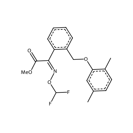 COC(=O)C(=NOC(F)F)c1ccccc1COc1cc(C)ccc1C